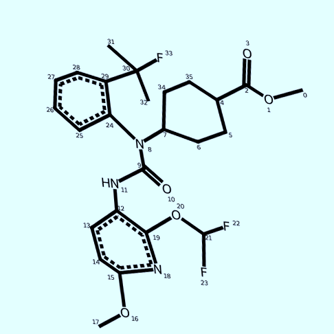 COC(=O)C1CCC(N(C(=O)Nc2ccc(OC)nc2OC(F)F)c2ccccc2C(C)(C)F)CC1